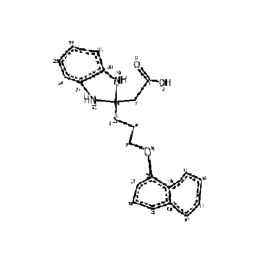 O=C(O)CC1(SCCOc2cccc3ccccc23)Nc2ccccc2N1